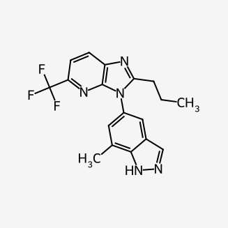 CCCc1nc2ccc(C(F)(F)F)nc2n1-c1cc(C)c2[nH]ncc2c1